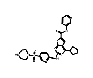 O=C(Nc1ccccc1)c1cc2c(C3CCCC3)nc(Nc3ccc(S(=O)(=O)N4CCNCC4)cn3)nc2[nH]1